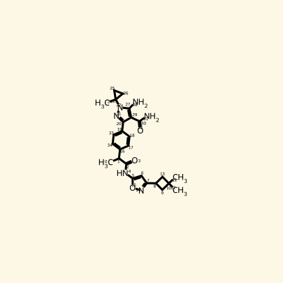 CC(C(=O)Nc1cc(C2CC(C)(C)C2)no1)c1ccc(-c2nn(C3(C)CC3)c(N)c2C(N)=O)cc1